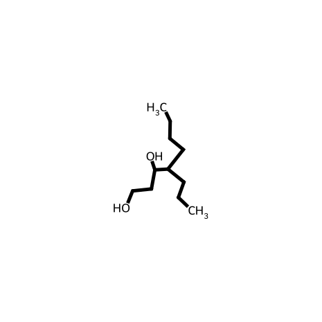 CCCCC(CCC)C(O)CCO